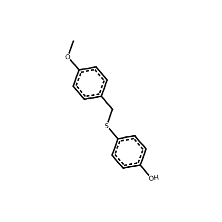 COc1ccc(CSc2ccc(O)cc2)cc1